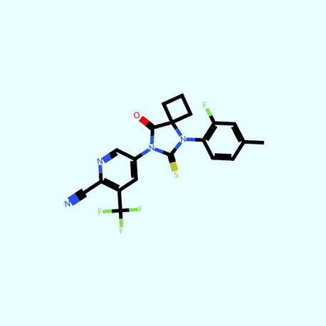 Cc1ccc(N2C(=S)N(c3cnc(C#N)c(C(F)(F)F)c3)C(=O)C23CCC3)c(F)c1